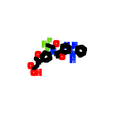 Nc1ccccc1Nc1cccc2c1OC[C@H]2N(C(=O)C(F)(F)F)c1ccc2c(c1)OC[C@H]2CC(=O)O